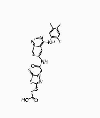 Cc1cc(F)c(Nc2ncnc3ccc(NC(=O)Cn4nc(SCC(=O)O)sc4=S)cc23)cc1C